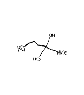 CNC(O)(O)CO